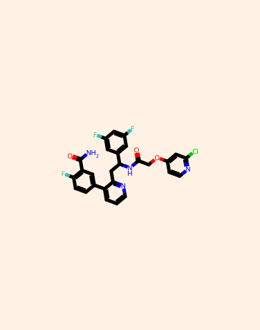 NC(=O)c1cc(-c2cccnc2CC(NC(=O)COc2ccnc(Cl)c2)c2cc(F)cc(F)c2)ccc1F